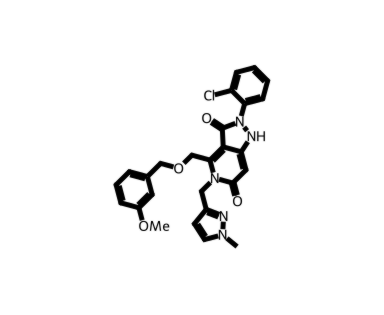 COc1cccc(COCc2c3c(=O)n(-c4ccccc4Cl)[nH]c3cc(=O)n2Cc2ccn(C)n2)c1